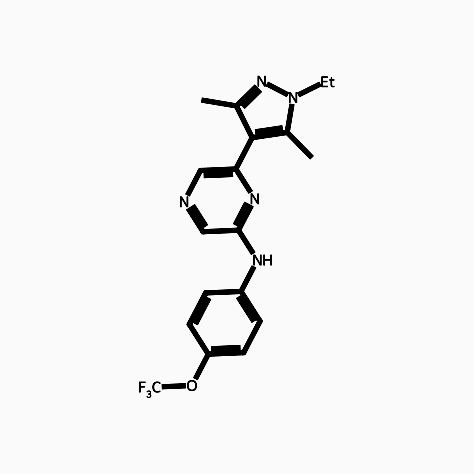 CCn1nc(C)c(-c2cncc(Nc3ccc(OC(F)(F)F)cc3)n2)c1C